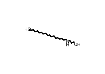 OCCCCCCCCCCCCCCCCCCNCCCO